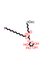 CCCCCCCCCCCCCCCC(=O)OCC(COC1OC(O)C(O)C(O)C1O)OC(=O)CCCCCCCCCCCCI